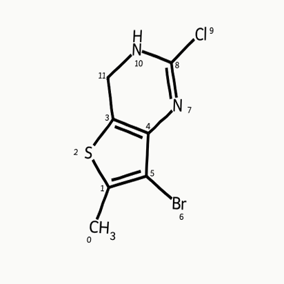 Cc1sc2c(c1Br)N=C(Cl)NC2